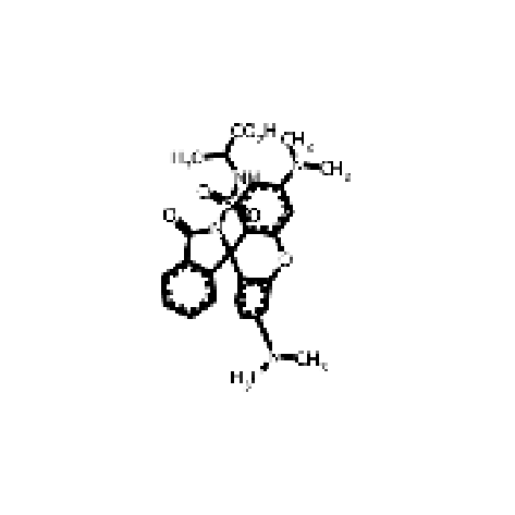 CC(NS(=O)(=O)N1C(=O)c2ccccc2C12c1ccc(N(C)C)cc1Oc1cc(N(C)C)ccc12)C(=O)O